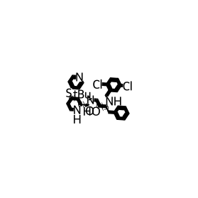 CC(C)(C)N(C[C@@H](O)[C@H](Cc1ccccc1)NCc1cc(Cl)ccc1Cl)C(=O)[C@@H]1C[C@H](Sc2ccncc2)CCN1